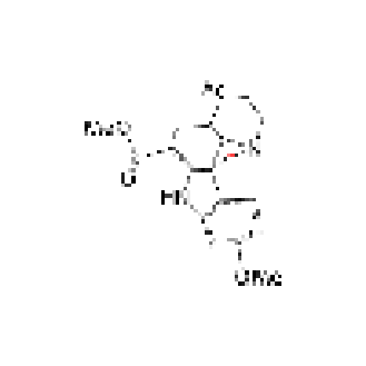 COC(=O)C1=C2Nc3cc(OC)ccc3C23CCN2CCCC(C(C)=O)(C1)C23